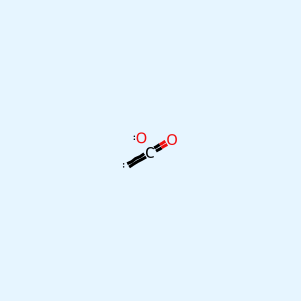 [C]=C=O.[O]